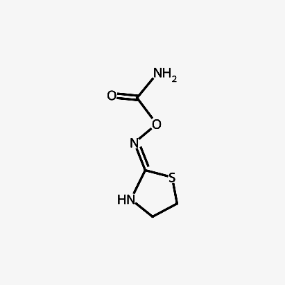 NC(=O)O/N=C1/NCCS1